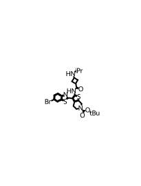 CC(C)NC1CC(C(=O)Nc2sc3c(c2-c2nc4ccc(Br)cc4s2)CCN(C(=O)OC(C)(C)C)C3)C1